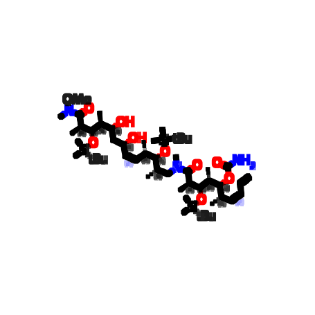 C=C/C=C\[C@H](C)[C@H](OC(N)=O)[C@@H](C)[C@H](O[Si](C)(C)C(C)(C)C)[C@@H](C)C(=O)N(C)C[C@H](C)[C@@H](O[Si](C)(C)C(C)(C)C)[C@@H](C)/C=C\[C@@H](O)C[C@H](O)[C@H](C)[C@H](O[Si](C)(C)C(C)(C)C)[C@@H](C)C(=O)N(C)OC